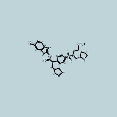 O=C(O)CCN(C[C@H]1CCCO1)S(=O)(=O)c1ccc([C@@H](CC2CCCC2)C(=O)Nc2nc3ccc(Cl)nc3s2)cc1